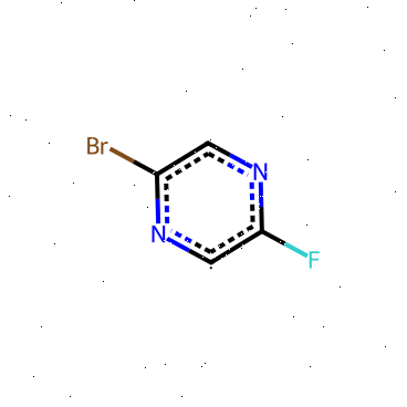 Fc1[c]nc(Br)cn1